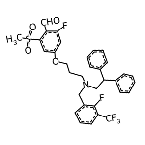 CS(=O)(=O)c1cc(OCCCN(Cc2cccc(C(F)(F)F)c2F)CC(c2ccccc2)c2ccccc2)cc(F)c1C=O